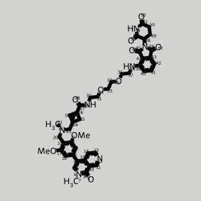 COc1cc(-c2cn(C)c(=O)c3cnccc23)cc(OC)c1CN(C)CC12CC(C(=O)NCCOCCOCCNc3cccc4c3C(=O)N(C3CCC(=O)NC3=O)C4=O)(C1)C2